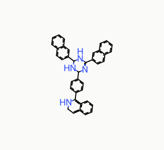 C1=c2ccccc2=C(c2ccc(C3N=C(c4ccc5ccccc5c4)NC(c4ccc5ccccc5c4)N3)cc2)NC1